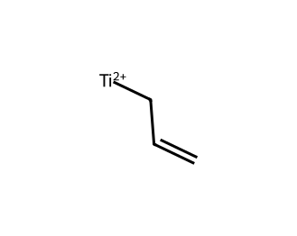 C=C[CH2][Ti+2]